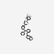 Cc1cccc(-c2ccc(-c3cccc(-c4c5ccccc5c(-c5ccc6ccccc6c5)c5ccccc45)c3)cn2)n1